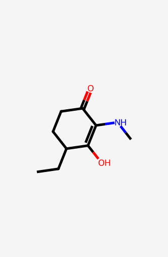 CCC1CCC(=O)C(NC)=C1O